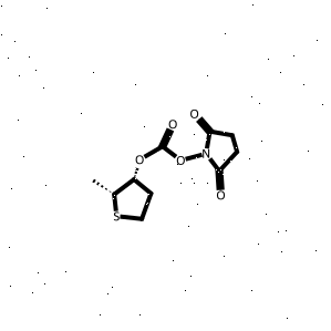 C[C@H]1SCC[C@H]1OC(=O)ON1C(=O)CCC1=O